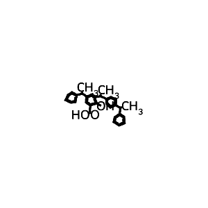 CC(c1ccccc1)c1ccc(C(C)c2cc(C(C)c3ccccc3)cc(C(=O)O)c2O)cc1